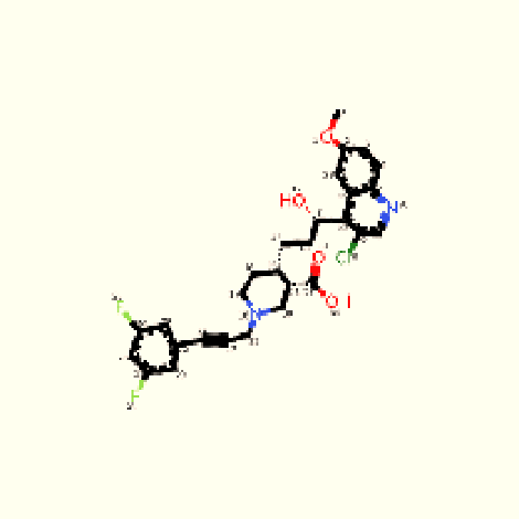 COc1ccc2ncc(Cl)c([C@@H](O)CC[C@H]3CCN(CC#Cc4cc(F)cc(F)c4)C[C@H]3C(=O)O)c2c1